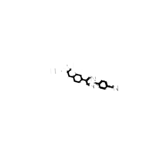 CCC(C)CC1CCC(c2cnc(-c3ccc(C#N)cc3)nc2)CC1